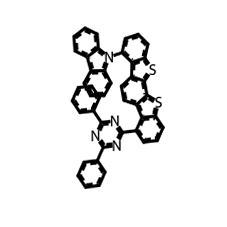 c1ccc(-c2nc(-c3ccccc3)nc(-c3cccc4sc5c(ccc6c5sc5cccc(-n7c8ccccc8c8ccccc87)c56)c34)n2)cc1